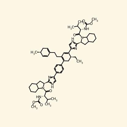 CC[C@H]1CC(c2ccc(-c3c[nH]c([C@@H]4CC5CCCCC5N4C(=O)[C@@H](NC(=O)OC)C(C)C)n3)cc2)=C(CCC2=CC[C@H](C)C=C2)C=C1c1c[nH]c([C@@H]2CC3CCCCC3N2C(=O)[C@@H](NC(=O)OC)C(C)C)n1